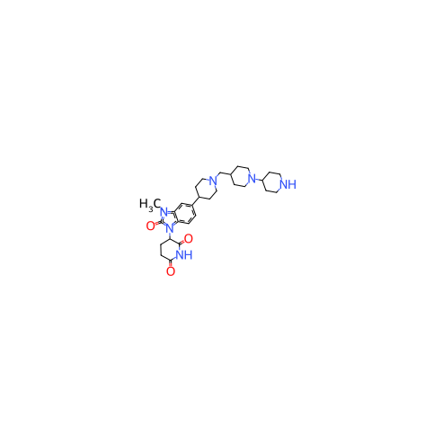 Cn1c(=O)n(C2CCC(=O)NC2=O)c2ccc(C3CCN(CC4CCN(C5CCNCC5)CC4)CC3)cc21